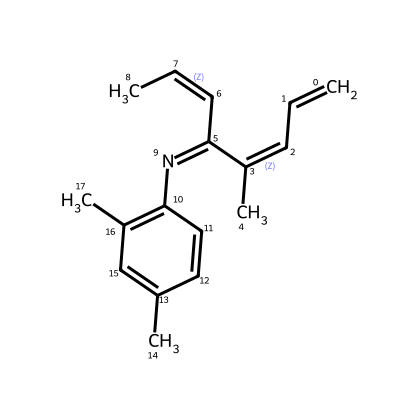 C=C/C=C(/C)C(/C=C\C)=Nc1ccc(C)cc1C